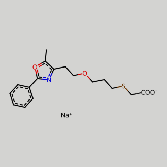 Cc1oc(-c2ccccc2)nc1CCOCCCSCC(=O)[O-].[Na+]